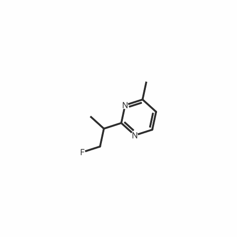 Cc1ccnc(C(C)CF)n1